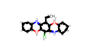 C=Cc1c2c(c(Cl)c3c1=Nc1ccccc1O3)=Nc1ccccc1O2